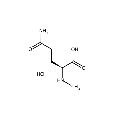 CN[C@@H](CCC(N)=O)C(=O)O.Cl